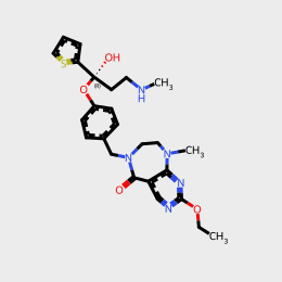 CCOc1ncc2c(n1)N(C)CCN(Cc1ccc(O[C@](O)(CCNC)c3cccs3)cc1)C2=O